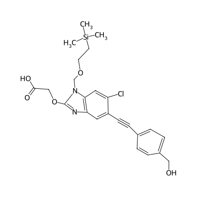 C[Si](C)(C)CCOCn1c(OCC(=O)O)nc2cc(C#Cc3ccc(CO)cc3)c(Cl)cc21